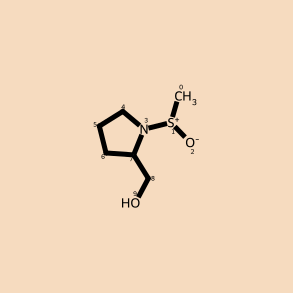 C[S+]([O-])N1CCCC1CO